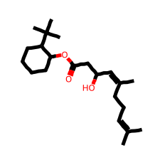 CC(C)=CCC/C(C)=C\C(O)CC(=O)OC1CCCCC1C(C)(C)C